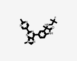 Cc1ncc(-c2nc(-c3ccc4c(c3)C(C)(NCC(C)(C)F)C(=O)N4)c3ncn(C)c3n2)cn1